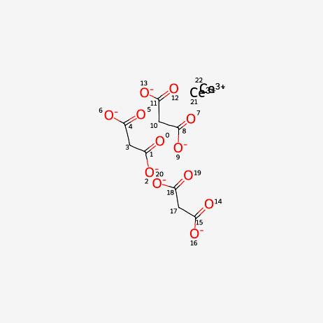 O=C([O-])CC(=O)[O-].O=C([O-])CC(=O)[O-].O=C([O-])CC(=O)[O-].[Ce+3].[Ce+3]